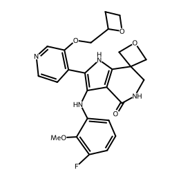 COc1c(F)cccc1Nc1c(-c2ccncc2OCC2CCO2)[nH]c2c1C(=O)NCC21COC1